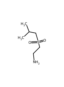 CC(C)CS(=O)(=O)CCN